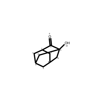 O=C1C2CC3CC(C2)CC1(O)C3